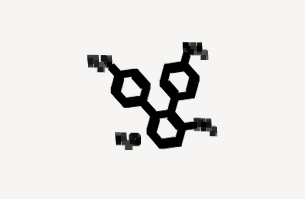 Nc1ccc(-c2cccc(P)c2-c2ccc(N)cc2)cc1.O